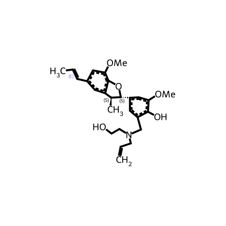 C=CCN(CCO)Cc1cc([C@H]2Oc3c(OC)cc(/C=C/C)cc3[C@@H]2C)cc(OC)c1O